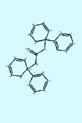 O=C(CC1(c2ccccc2)C=CC=CC1)CC1(c2ccccc2)C=CC=CC1